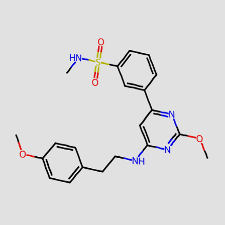 CNS(=O)(=O)c1cccc(-c2cc(NCCc3ccc(OC)cc3)nc(OC)n2)c1